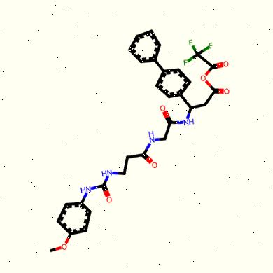 COc1ccc(NC(=O)NCCC(=O)NCC(=O)NC(CC(=O)OC(=O)C(F)(F)F)c2ccc(-c3ccccc3)cc2)cc1